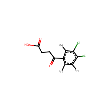 [2H]c1c([2H])c(C(=O)CCC(=O)O)c([2H])c(Cl)c1Cl